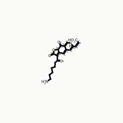 NCCCCCCC(=O)C1=C2C=C3C=C(/C=C\C(=O)O)NC=C3C(=O)C2OC1=O